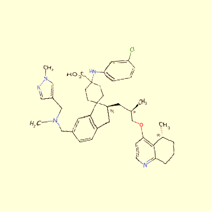 C[C@@H](COc1ccnc2c1[C@H](C)CCC2)C[C@H]1Cc2ccc(CN(C)Cc3cnn(C)c3)cc2C12CCC(Nc1cccc(Cl)c1)(C(=O)O)CC2